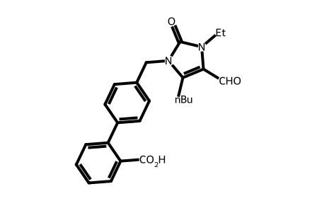 CCCCc1c(C=O)n(CC)c(=O)n1Cc1ccc(-c2ccccc2C(=O)O)cc1